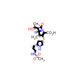 C[C@@H](O)[C@H]1C(=O)N2C(C(=O)O)=C(S[C@@H]3CN[C@H](/C=C\CNS(C)(=O)=O)C3)[C@H](C)[C@H]12